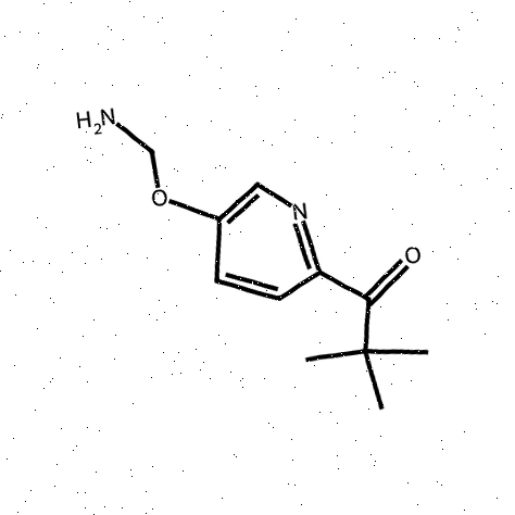 CC(C)(C)C(=O)c1ccc(OCN)cn1